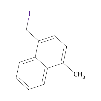 Cc1ccc(CI)c2ccccc12